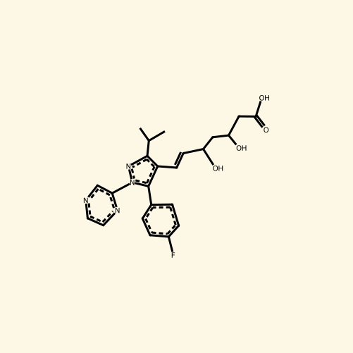 CC(C)c1nn(-c2cnccn2)c(-c2ccc(F)cc2)c1/C=C/C(O)CC(O)CC(=O)O